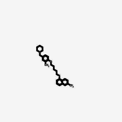 Cc1cc(CN2CCCCC2)ccc1OCCCCCSc1cccc2cc(C(F)(F)F)ccc12